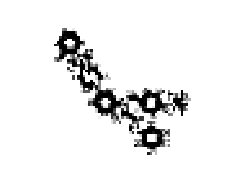 Cc1ccccc1S(=O)(=O)N1CCN(c2ccc3nc(COc4ccccc4)n(Cc4ccc(OC(F)(F)F)cc4)c3c2)CC1